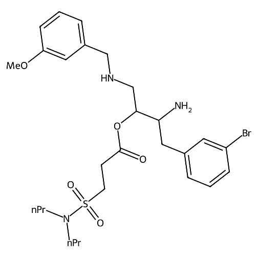 CCCN(CCC)S(=O)(=O)CCC(=O)OC(CNCc1cccc(OC)c1)C(N)Cc1cccc(Br)c1